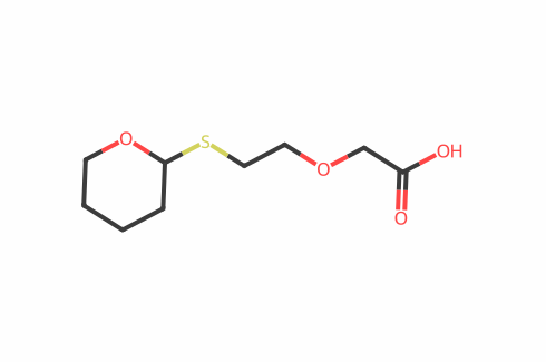 O=C(O)COCCSC1CCCCO1